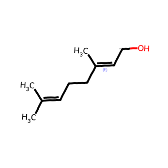 CC(C)=CCC/C(C)=C/[CH]O